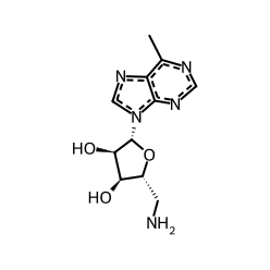 Cc1ncnc2c1ncn2[C@@H]1O[C@H](CN)[C@@H](O)[C@H]1O